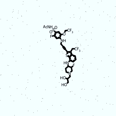 CC(=O)NS(=O)(=O)c1cc(OCC(F)(F)F)c(NCC#Cc2sc3c(NC4CCN(CC(O)CO)CC4F)cccc3c2CC(F)(F)F)cc1F